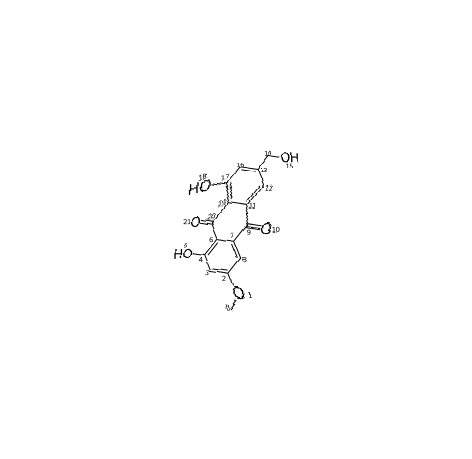 COc1cc(O)c2c(c1)C(=O)c1cc(CO)cc(O)c1C2=O